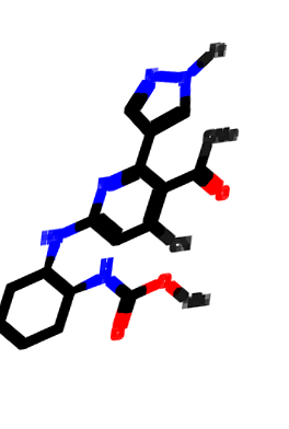 CCCCOC(=O)N[C@H]1CCCC[C@H]1Nc1cc(C#N)c(C(=O)OC)c(-c2cnn(CC)c2)n1